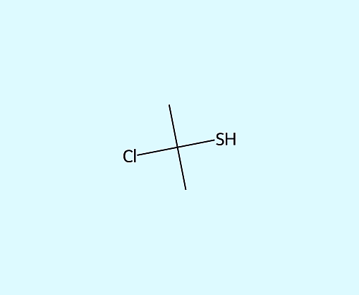 CC(C)(S)Cl